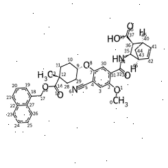 COc1cc(C#N)c(O[C@H]2CC[C@@](C)(C(=O)OCc3cccc4ccccc34)CC2)cc1C(=O)N[C@H]1[C@@H](C(=O)O)[C@H]2C=C[C@@H]1C2